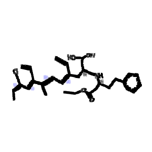 C=C\C(=C/C=C(C)/C(C=C)=C/C(Cl)=C\C)C[C@H](N[C@@H](CCc1ccccc1)C(=O)OCC)C(O)O